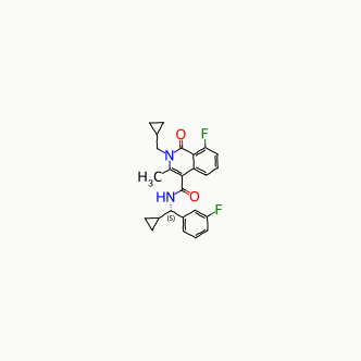 Cc1c(C(=O)N[C@H](c2cccc(F)c2)C2CC2)c2cccc(F)c2c(=O)n1CC1CC1